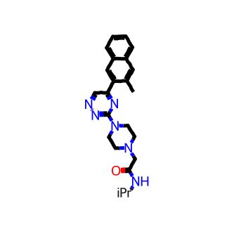 Cc1cc2ccccc2cc1-c1cnnc(N2CCN(CC(=O)NC(C)C)CC2)n1